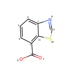 [O]C(=O)c1cccc2ncsc12